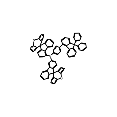 c1ccc(C2(c3ccccc3)c3ccccc3-c3c(-c4ccc(N(c5ccc6c(c5)-c5ccccc5C65c6ccccc6Oc6ccccc65)c5cccc6c5-c5ccccc5C65c6ccccc6Sc6ccccc65)cc4)cccc32)cc1